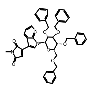 CN1C(=O)C=C(c2cn([C@@H]3O[C@H](COCc4ccccc4)[C@@H](OCc4ccccc4)[C@H](OCc4ccccc4)[C@H]3OCc3ccccc3)c3ncccc23)C1=O